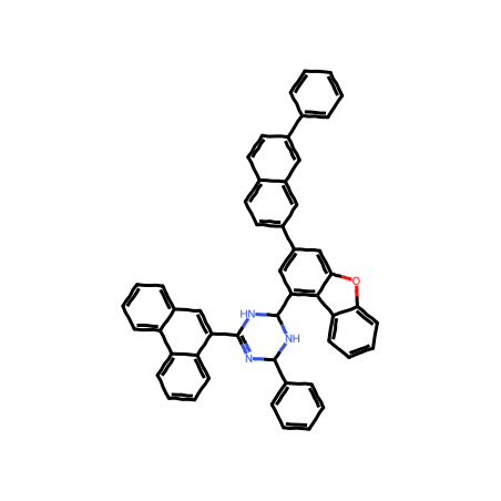 c1ccc(-c2ccc3ccc(-c4cc(C5NC(c6cc7ccccc7c7ccccc67)=NC(c6ccccc6)N5)c5c(c4)oc4ccccc45)cc3c2)cc1